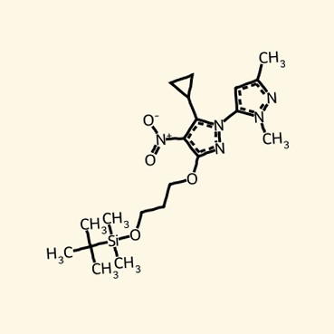 Cc1cc(-n2nc(OCCCO[Si](C)(C)C(C)(C)C)c([N+](=O)[O-])c2C2CC2)n(C)n1